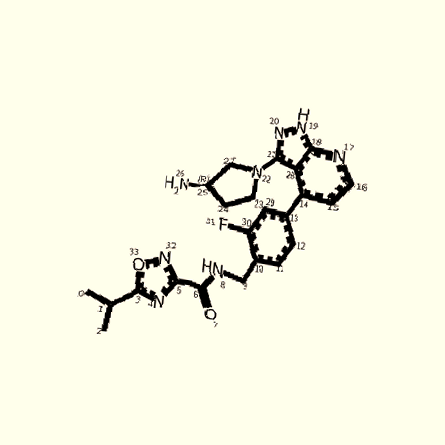 CC(C)c1nc(C(=O)NCc2ccc(-c3ccnc4[nH]nc(N5CC[C@@H](N)C5)c34)cc2F)no1